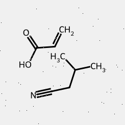 C=CC(=O)O.CC(C)CC#N